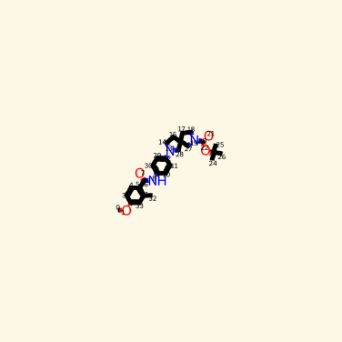 COc1ccc(C(=O)Nc2ccc(N3CCC4(CCN(C(=O)OC(C)(C)C)C4)C3)cc2)c(C)c1